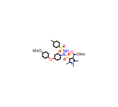 COC(=O)c1c(S(=O)(=O)N(NS(=O)(=O)c2ccc(C)cc2)c2ccc(Oc3ccc(OC)cc3)cc2)c(C)n(C)c1C